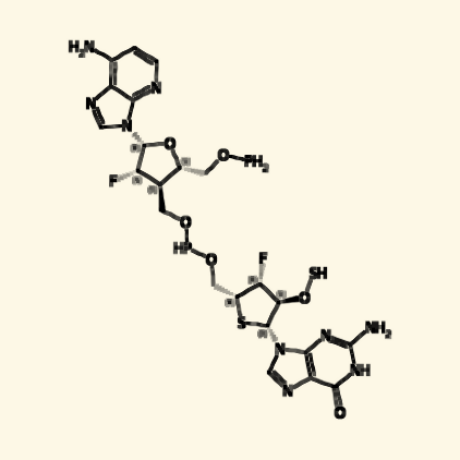 Nc1nc2c(ncn2[C@@H]2S[C@H](COPOC[C@H]3[C@H](F)[C@H](n4cnc5c(N)ccnc54)O[C@@H]3COP)[C@H](F)[C@H]2OS)c(=O)[nH]1